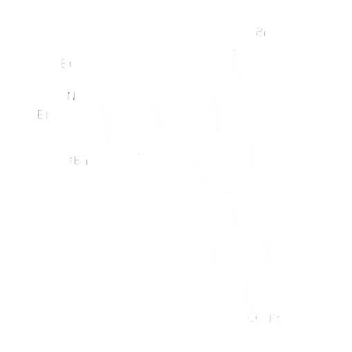 CCOC(=O)c1ccc(-c2ccc(CCCBr)c(-c3ccc(N(CC)CC)c(C(C)(C)C)c3)c2)cc1